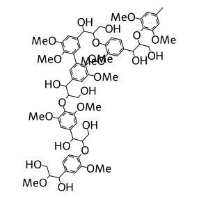 COc1cc(C(O)C(CO)OC)ccc1OC(CO)C(O)c1cc(OC)c(OC(CO)C(O)c2cc(OC)c(OC)c(-c3cc(C(O)C(CO)Oc4ccc(C(O)C(CO)Oc5c(OC)cc(C)cc5OC)cc4OC)cc(OC)c3OC)c2)c(OC)c1